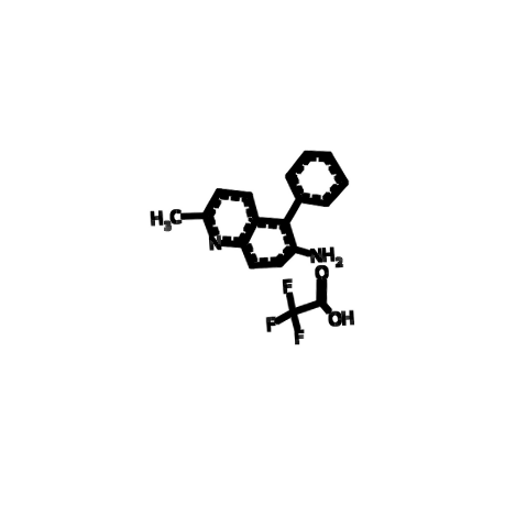 Cc1ccc2c(-c3ccccc3)c(N)ccc2n1.O=C(O)C(F)(F)F